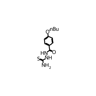 CCCCOc1ccc(C(=O)NNC(N)=S)cc1